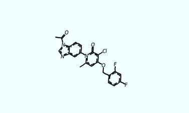 CC(=O)n1cnc2cc(-n3c(C)cc(OCc4ccc(F)cc4F)c(Cl)c3=O)ccc21